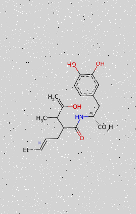 C=C(O)C(C)C(C/C=C/CC)C(=O)N[C@H](Cc1ccc(O)c(O)c1)C(=O)O